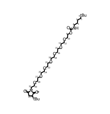 CC(C)(C)CCCCNC(=O)OCCOCCOCCOCCOCCOCCOCCOCCN1C(=O)CC(C(C)(C)C)C1=O